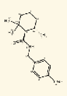 COc1ccc(CNC(=O)[C@@H]2[C@@H](C)CCCC2(C)C)cc1